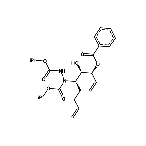 C=CCC[C@H]([C@@H](O)[C@H](C=C)OC(=O)c1ccccc1)N(NC(=O)OC(C)C)C(=O)OC(C)C